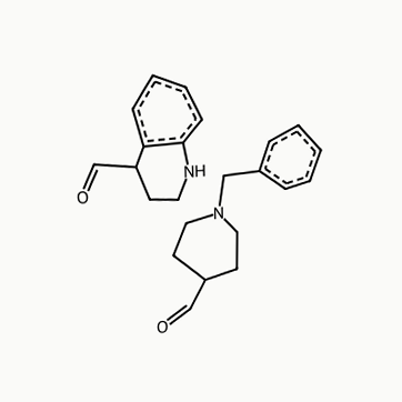 O=CC1CCN(Cc2ccccc2)CC1.O=CC1CCNc2ccccc21